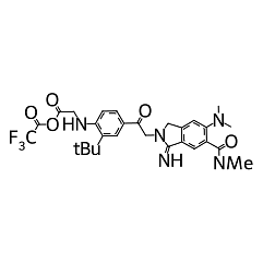 CNC(=O)c1cc2c(cc1N(C)C)CN(CC(=O)c1ccc(NCC(=O)OC(=O)C(F)(F)F)c(C(C)(C)C)c1)C2=N